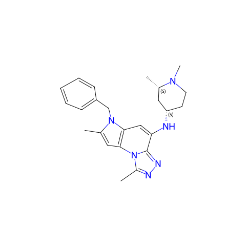 Cc1cc2c(cc(N[C@H]3CCN(C)[C@@H](C)C3)c3nnc(C)n32)n1Cc1ccccc1